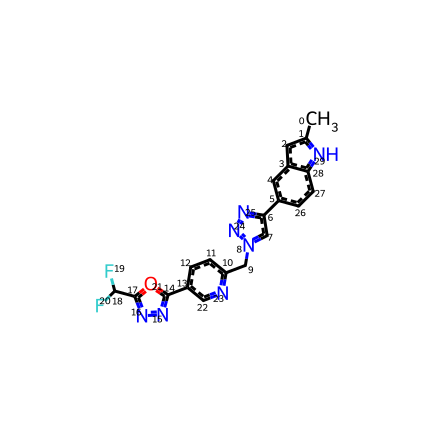 Cc1cc2cc(-c3cn(Cc4ccc(-c5nnc(C(F)F)o5)cn4)nn3)ccc2[nH]1